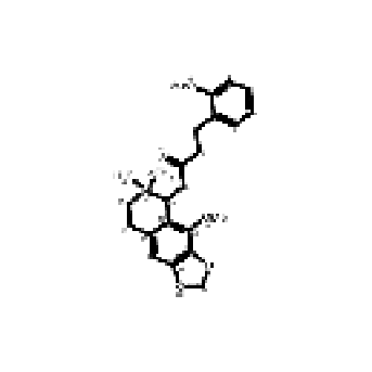 COc1ccccc1CCC(=O)CC1c2c(cc3c(c2OC)OCO3)CC[N+]1(C)C